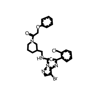 O=C(COc1ccccc1)N1CCCC(CNc2cc(-c3ccccc3Cl)nc3c(Br)cnn23)C1